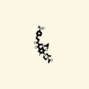 COc1c(N2CCN(C(C)=O)C(C)C2)c(F)cc2c(=O)c(C(=O)C=Cc3ccc([N+](=O)[O-])cc3)cn(C3CC3)c12